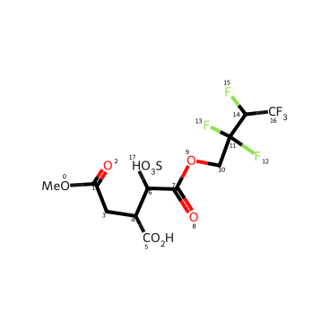 COC(=O)CC(C(=O)O)C(C(=O)OCC(F)(F)C(F)C(F)(F)F)S(=O)(=O)O